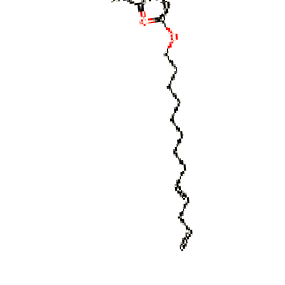 C=CCC=CCCCCCCCCOc1ccc(C(C)=O)o1